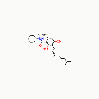 CCCCCc1cc(O)c(CC=C(C)CCC=C(C)C)c(O)c1C(=O)NC1CCCCC1